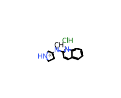 CN(c1ccc2ccccc2n1)[C@@H]1CCNC1.Cl